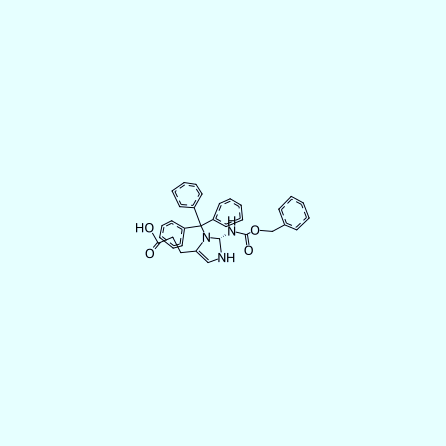 O=C(O)CCC1=CN[C@@H](NC(=O)OCc2ccccc2)N1C(c1ccccc1)(c1ccccc1)c1ccccc1